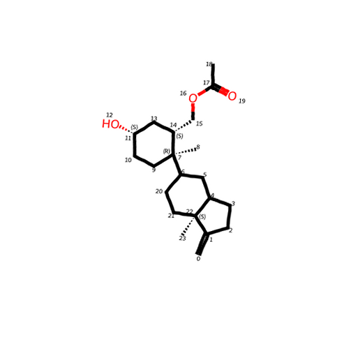 C=C1CCC2CC([C@@]3(C)CC[C@H](O)C[C@@H]3COC(C)=O)CC[C@]12C